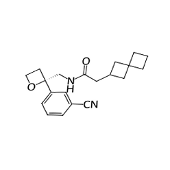 N#Cc1cccc([C@]2(CNC(=O)CC3CC4(CCC4)C3)CCO2)c1